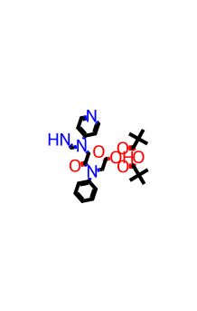 CC(C)(C)C(=O)OC(=O)C(C)(C)C.N=CN(CC(=O)N(CC(=O)O)c1ccccc1)c1ccncc1